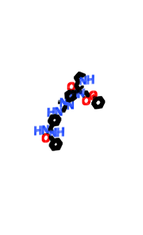 Cn1c(CNc2ccc(C(=N)NC(=O)c3ccccc3)cc2)nc2cc([C@@](C)(NCC(=O)OC3CCCCC3)C(=O)C3C=CCN3)ccc21